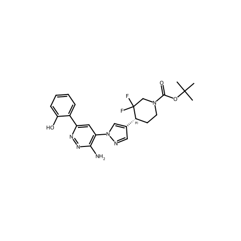 CC(C)(C)OC(=O)N1CC[C@H](c2cnn(-c3cc(-c4ccccc4O)nnc3N)c2)C(F)(F)C1